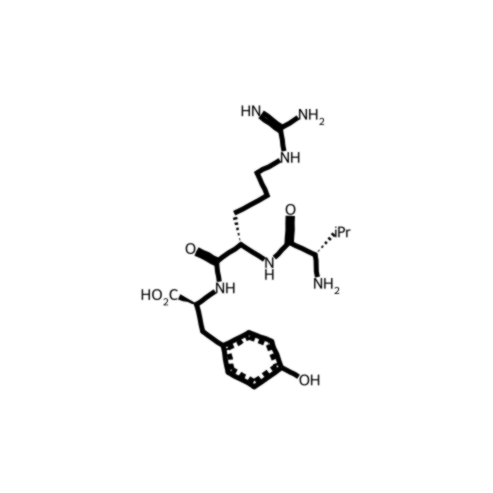 CC(C)[C@H](N)C(=O)N[C@@H](CCCNC(=N)N)C(=O)N[C@@H](Cc1ccc(O)cc1)C(=O)O